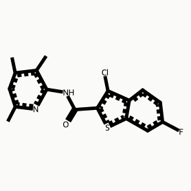 Cc1cc(C)c(C)c(NC(=O)c2sc3cc(F)ccc3c2Cl)n1